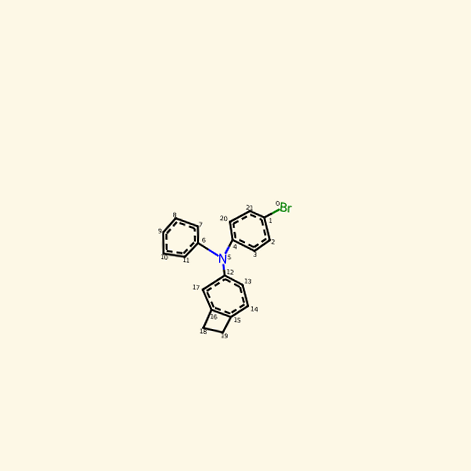 Brc1ccc(N(c2ccccc2)c2ccc3c(c2)CC3)cc1